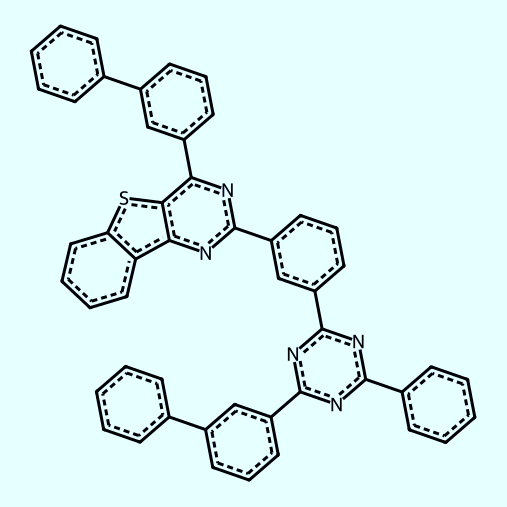 c1ccc(-c2cccc(-c3nc(-c4ccccc4)nc(-c4cccc(-c5nc(-c6cccc(-c7ccccc7)c6)c6sc7ccccc7c6n5)c4)n3)c2)cc1